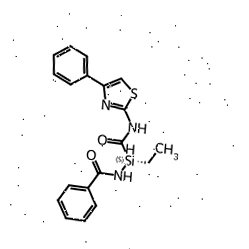 CC[Si@H](NC(=O)c1ccccc1)C(=O)Nc1nc(-c2ccccc2)cs1